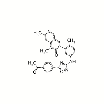 CC(=O)c1ccc(-c2nc(Nc3ccc(C)c(-c4cc5cnc(C)cc5n(C)c4=O)c3)no2)cc1